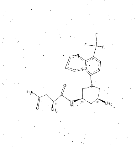 C[C@H]1C[C@@H](NC(=O)[C@@H](N)CC(N)=O)CN(c2ccc(C(F)(F)F)c3ncccc23)C1